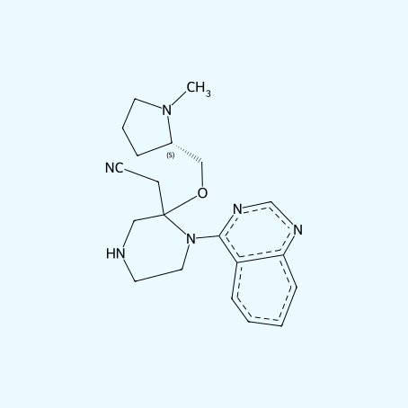 CN1CCC[C@H]1COC1(CC#N)CNCCN1c1ncnc2ccccc12